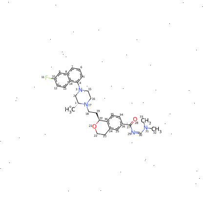 C[C@@H]1CN(c2cccc3cc(F)ccc23)CCN1CC[C@@H]1OCCc2cc(C(=O)/N=C\N(C)C)ccc21